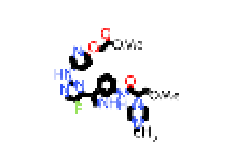 COCC(C(=O)Nc1cccc2c(-c3nc(Nc4ccc(OCC(=O)OC)nc4)ncc3F)c[nH]c12)N1CCN(C)CC1